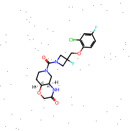 O=C1CO[C@H]2CCN(C(=O)N3CC(F)(COc4ccc(F)cc4Cl)C3)C[C@H]2N1